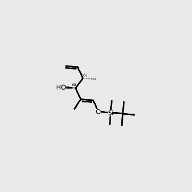 C=C[C@H](C)[C@H](O)C(C)=CO[Si](C)(C)C(C)(C)C